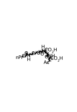 CCCOCC(=O)NCCOCCOCC(=O)N[C@@H](CCC(=O)N[C@@H](CCC(C)=O)C(=O)O)C(=O)O